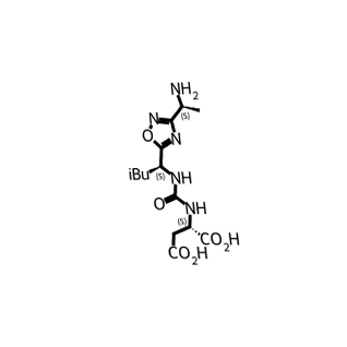 CCC(C)[C@H](NC(=O)N[C@@H](CC(=O)O)C(=O)O)c1nc([C@H](C)N)no1